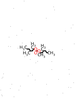 CCCC(C)CC(C)OC(=O)OC(C)CC(C)CCC